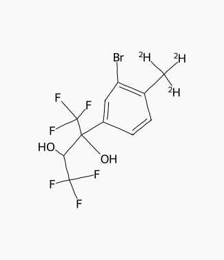 [2H]C([2H])([2H])c1ccc(C(O)(C(O)C(F)(F)F)C(F)(F)F)cc1Br